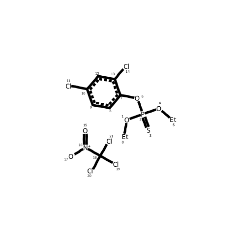 CCOP(=S)(OCC)Oc1ccc(Cl)cc1Cl.O=[N+]([O-])C(Cl)(Cl)Cl